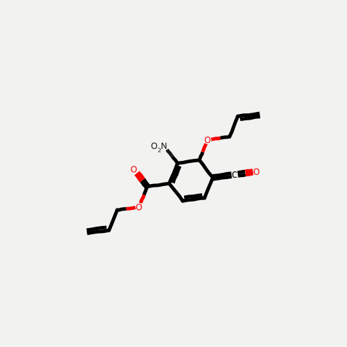 C=CCOC(=O)C1=C([N+](=O)[O-])C(OCC=C)C(=C=O)C=C1